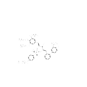 COc1cc(C=C2CN(S(=O)(=O)c3ccc(NC(C)=O)cc3)CC(=Cc3ccccc3-c3cccc([N+](=O)[O-])c3)C2=O)cc(OC)c1OC